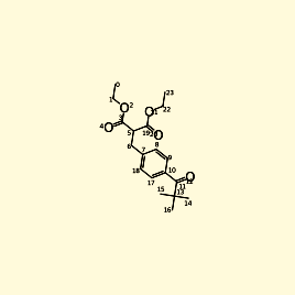 CCOC(=O)C(Cc1ccc(C(=O)C(C)(C)C)cc1)C(=O)OCC